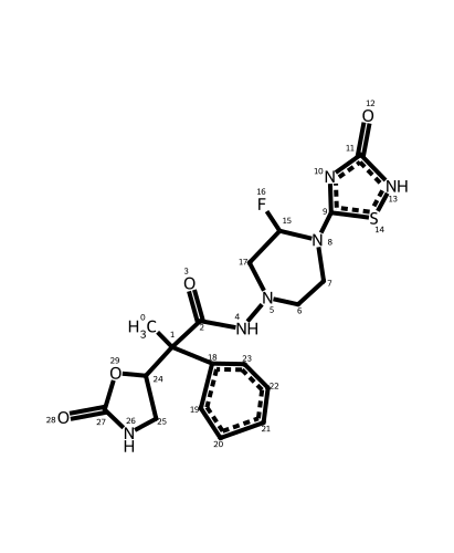 CC(C(=O)NN1CCN(c2nc(=O)[nH]s2)C(F)C1)(c1ccccc1)C1CNC(=O)O1